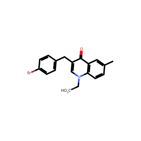 Cc1ccc2c(c1)c(=O)c(Cc1ccc(Br)cc1)cn2CC(=O)O